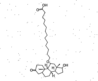 C[C@]12CCC(=O)CC1CC[C@@H]1[C@H]2C(OCCCCCCCCCCCCCC(=O)O)C[C@]2(C)C(O)CC[C@@H]12